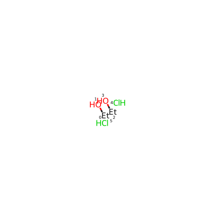 CCO.CCO.Cl.Cl